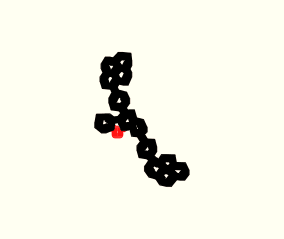 c1cc2ccc3ccc(-c4ccc(-c5ccc6cc(-c7ccc(-c8ccc9ccc%10cccc%11ccc8c9c%10%11)cc7)c7c8ccccc8oc7c6c5)cc4)c4ccc(c1)c2c34